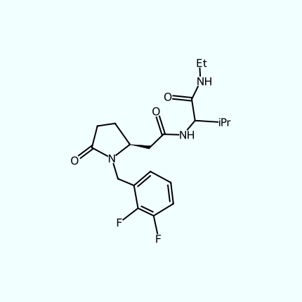 CCNC(=O)C(NC(=O)C[C@@H]1CCC(=O)N1Cc1cccc(F)c1F)C(C)C